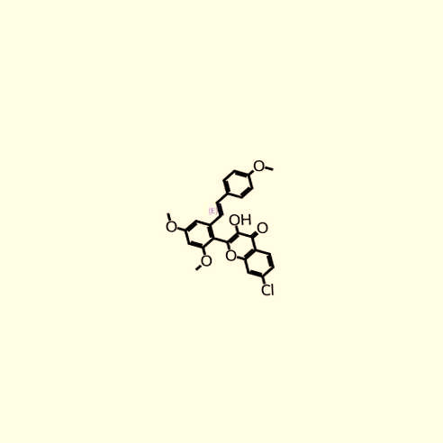 COc1ccc(/C=C/c2cc(OC)cc(OC)c2-c2oc3cc(Cl)ccc3c(=O)c2O)cc1